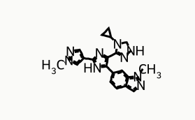 Cn1cc(-c2nc(C3=NNCN3C3CC3)c(-c3ccc4cnn(C)c4c3)[nH]2)cn1